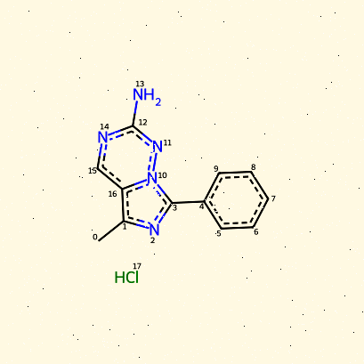 Cc1nc(-c2ccccc2)n2nc(N)ncc12.Cl